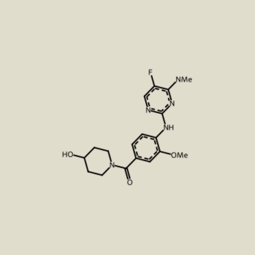 CNc1nc(Nc2ccc(C(=O)N3CCC(O)CC3)cc2OC)ncc1F